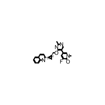 Cc1ncc(-c2cc(F)c(=O)n(C)c2)c(OC[C@H]2C[C@@H]2c2ccc3ccccc3n2)n1